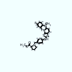 COC(=O)[C@@H]1CCCN1Cc1ccc(Nc2nc3ccc(N(C)c4ccc(F)cc4F)nc3s2)nc1